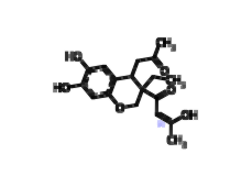 CCC1(C(=O)/C=C(/C)O)COc2cc(O)c(O)cc2C1CC(C)=O